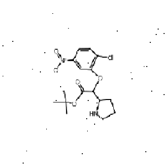 CC(C)(C)OC(=O)C(Oc1cc([N+](=O)[O-])ccc1Cl)C1CCCN1